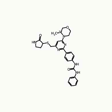 C[C@H]1COCCN1c1cc(CSC2CCNC2=O)nc(-c2ccc(NC(=O)Nc3ccccc3)cc2)n1